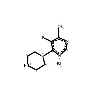 Cc1ncnc(N2CCNCC2)c1F.Cl